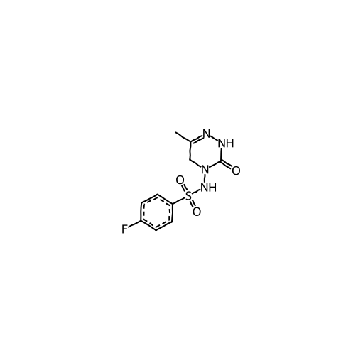 CC1=NNC(=O)N(NS(=O)(=O)c2ccc(F)cc2)C1